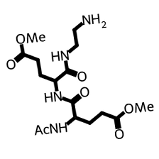 COC(=O)CCC(NC(C)=O)C(=O)NC(CCC(=O)OC)C(=O)NCCN